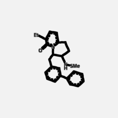 CCc1ccc2n(c1=O)C(Cc1cccc(-c3ccccc3)c1)C(NSC)CC2